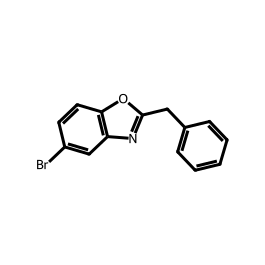 Brc1ccc2oc(Cc3ccccc3)nc2c1